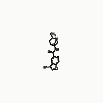 CC1CC2CCN1CC2NC(=O)c1cc2c(Br)coc2cn1